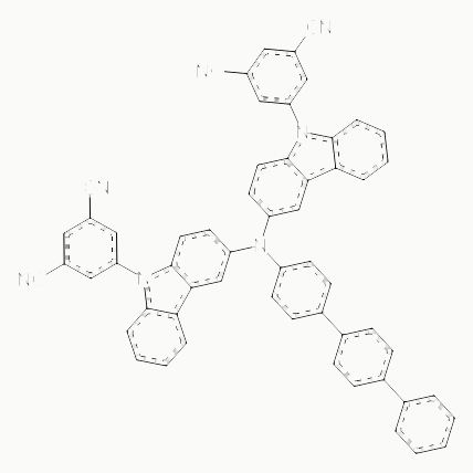 N#Cc1cc(C#N)cc(-n2c3ccccc3c3cc(N(c4ccc(-c5ccc(-c6ccccc6)cc5)cc4)c4ccc5c(c4)c4ccccc4n5-c4cc(C#N)cc(C#N)c4)ccc32)c1